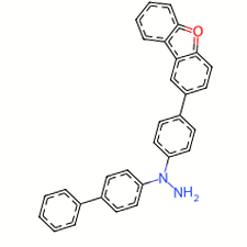 NN(c1ccc(-c2ccccc2)cc1)c1ccc(-c2ccc3oc4ccccc4c3c2)cc1